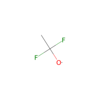 CC([O])(F)F